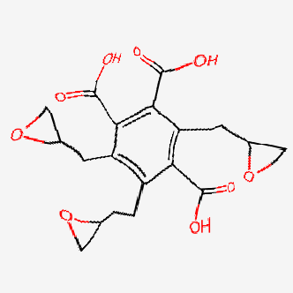 O=C(O)c1c(CC2CO2)c(CC2CO2)c(C(=O)O)c(C(=O)O)c1CC1CO1